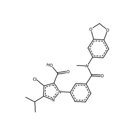 CC(C)c1nn(-c2cccc(C(=O)N(C)c3ccc4c(c3)OCO4)c2)c(C(=O)O)c1Cl